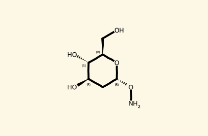 NO[C@@H]1C[C@@H](O)[C@H](O)[C@@H](CO)O1